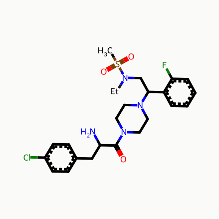 CCN(CC(c1ccccc1F)N1CCN(C(=O)C(N)Cc2ccc(Cl)cc2)CC1)S(C)(=O)=O